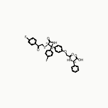 O=C(COc1ccc([C@]2(c3ccc(F)cc3)NC(=O)[C@@H]2SCC(=O)c2ccc(F)cc2)cc1)N[C@@H](C(=O)O)c1ccccc1